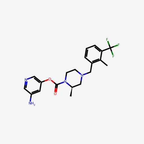 Cc1c(CN2CCN(C(=O)Oc3cncc(N)c3)[C@H](C)C2)cccc1C(F)(F)F